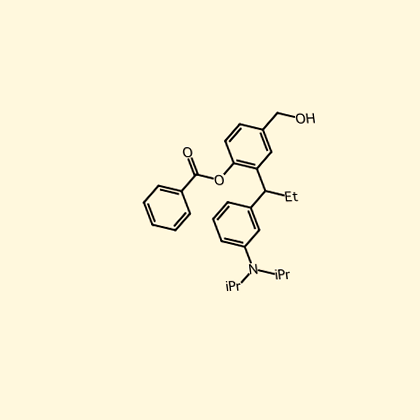 CCC(c1cccc(N(C(C)C)C(C)C)c1)c1cc(CO)ccc1OC(=O)c1ccccc1